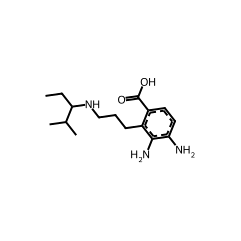 CCC(NCCCc1c(C(=O)O)ccc(N)c1N)C(C)C